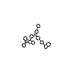 c1ccc(-c2ccc(N(c3ccc(-c4ccc(-c5cccc6ccccc56)cc4)cc3)c3cccc(-c4c5ccccc5cc5c4c4ccccc4n5-c4ccccc4)c3)cc2)cc1